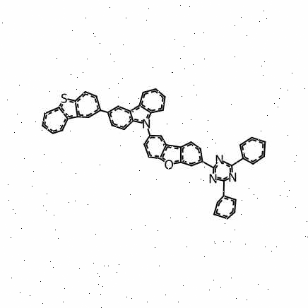 c1ccc(-c2nc(-c3ccccc3)nc(-c3ccc4c(c3)oc3ccc(-n5c6ccccc6c6cc(-c7ccc8sc9ccccc9c8c7)ccc65)cc34)n2)cc1